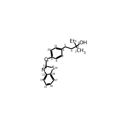 CCC(C)(O)CCc1ccc(Oc2nc3ccccc3s2)cc1